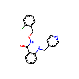 O=C(NOCc1ccccc1F)c1ccccc1NCc1ccncc1